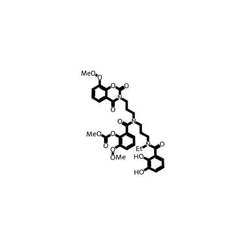 CCN(CCCN(CCCn1c(=O)oc2c(OOC)cccc2c1=O)C(=O)c1cccc(OOC)c1OC(=O)OC)C(=O)c1cccc(O)c1O